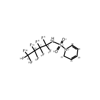 O=S(=O)(NC(F)(F)C(F)(F)C(F)(F)C(F)(F)F)N1C=CC=CC1